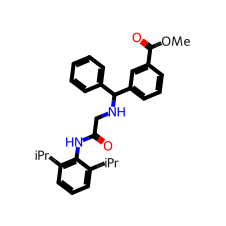 COC(=O)c1cccc(C(NCC(=O)Nc2c(C(C)C)cccc2C(C)C)c2ccccc2)c1